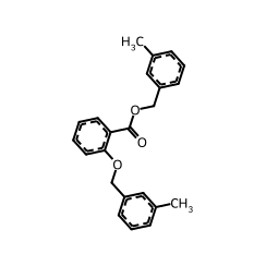 Cc1cccc(COC(=O)c2ccccc2OCc2cccc(C)c2)c1